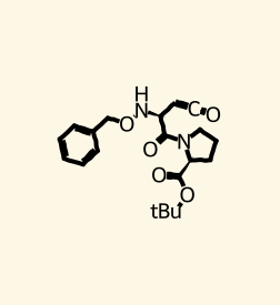 CC(C)(C)OC(=O)[C@@H]1CCCN1C(=O)[C@H](C=C=O)NOCc1ccccc1